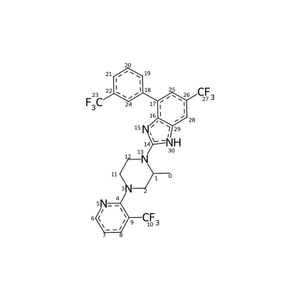 CC1CN(c2ncccc2C(F)(F)F)CCN1c1nc2c(-c3cccc(C(F)(F)F)c3)cc(C(F)(F)F)cc2[nH]1